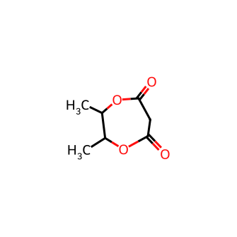 CC1OC(=O)CC(=O)OC1C